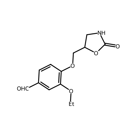 CCOc1cc(C=O)ccc1OCC1CNC(=O)O1